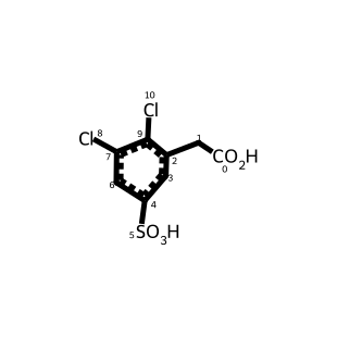 O=C(O)Cc1cc(S(=O)(=O)O)cc(Cl)c1Cl